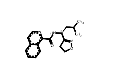 CC(C)C[C@H](NC(=O)c1nccc2ccccc12)C1=NOCC1